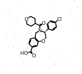 O=C(O)c1ccc2c(c1)OC[C@H](c1ccc(Cl)cc1)N(C(=O)C1CCOCC1)C2